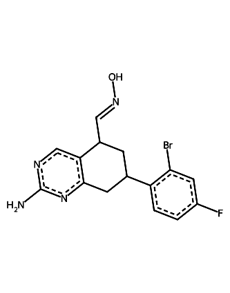 Nc1ncc2c(n1)CC(c1ccc(F)cc1Br)CC2C=NO